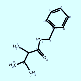 CC(C)C(N)C(=O)NCc1ccccc1